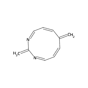 C=c1cccnc(=C)nccc1